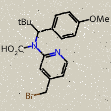 COc1ccc(C(N(C(=O)O)c2cc(CBr)ccn2)C(C)(C)C)cc1